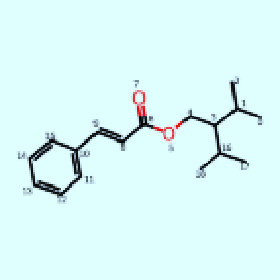 CC(C)C(COC(=O)/C=C/c1ccccc1)C(C)C